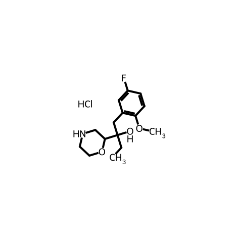 CCC(O)(Cc1cc(F)ccc1OC)C1CNCCO1.Cl